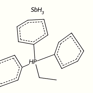 CC[PH](c1ccccc1)(c1ccccc1)c1ccccc1.[SbH3]